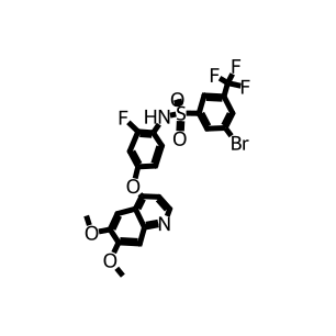 COc1cc2nccc(Oc3ccc(NS(=O)(=O)c4cc(Br)cc(C(F)(F)F)c4)c(F)c3)c2cc1OC